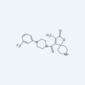 CC1=C(C(=O)N2CCN(c3cccc(C(F)(F)F)c3)CC2)C2(CCNCC2)OC1=O